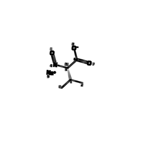 CC(C)[C@H](N=O)C(=O)[O-].[Na+]